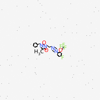 Cc1cn(Cc2ccccc2)c(=O)n(CCCN2CCN(c3ccc(F)cc3OCC(F)(F)F)CC2)c1=O